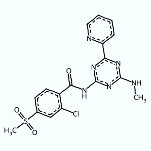 CNc1nc(NC(=O)c2ccc(S(C)(=O)=O)cc2Cl)nc(-c2ccccn2)n1